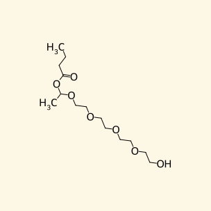 CCCC(=O)OC(C)OCCOCCOCCOCCO